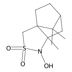 CC1(C)C2CCC13CS(=O)(=O)N(O)C3(C)C2